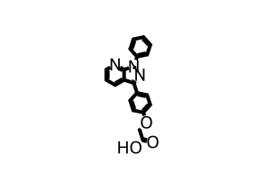 O=C(O)COc1ccc(-c2nn(-c3ccccc3)c3ncccc23)cc1